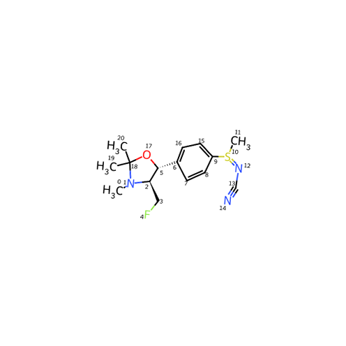 CN1[C@H](CF)[C@@H](c2ccc(/S(C)=N\C#N)cc2)OC1(C)C